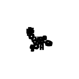 O=C(N[C@H](C(=O)O)C12CC3CC(C1)C(C3)C2)c1ccc2sccc2c1OCc1ccc(S(F)(F)(F)(F)F)cc1